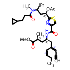 C#C/C=C(\C=C/CC(F)(F)F)C[C@@H](C[C@H](C)C(=O)OC)NC(=O)c1csc([C@@H](CC(C(C)C)N(C)C(=O)CCC2CC2)OC(C)=O)n1